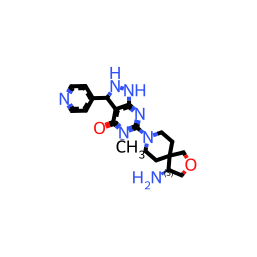 Cn1c(N2CCC3(CC2)COC[C@H]3N)nc2c(c1=O)C(c1ccncc1)NN2